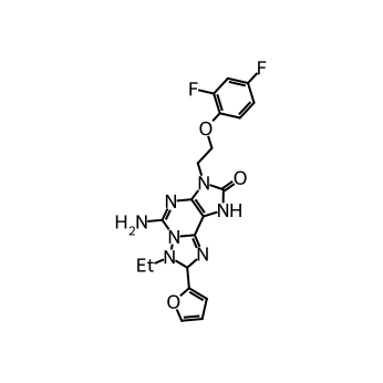 CCN1C(c2ccco2)N=C2c3[nH]c(=O)n(CCOc4ccc(F)cc4F)c3N=C(N)N21